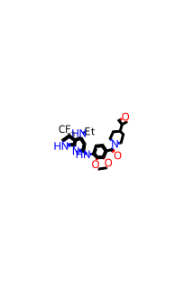 CCNc1cc(Nc2ccc(C(=O)N3CCC(C4COC4)CC3)c3c2OCCO3)nc2[nH]cc(C(F)(F)F)c12